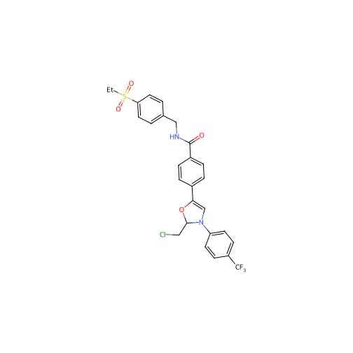 CCS(=O)(=O)c1ccc(CNC(=O)c2ccc(C3=CN(c4ccc(C(F)(F)F)cc4)C(CCl)O3)cc2)cc1